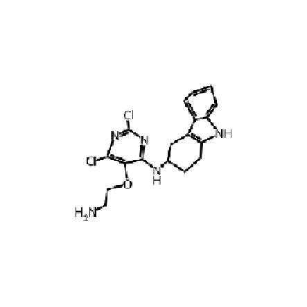 NCCOc1c(Cl)nc(Cl)nc1N[C@@H]1CCc2[nH]c3ccccc3c2C1